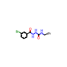 CC(C)CNC(=O)NNC(=O)c1cccc(Br)c1